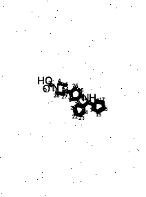 O=C(O)N1CCN(C2CCC(NC(c3ccccc3)c3ccccc3)CC2)CC1